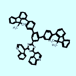 CC1(C)c2ccccc2-c2cccc(-c3ccc(-c4cc(-c5ccc(-c6cccc7c6C(C)(C)c6ccccc6-7)cc5)cc(-c5nc(-c6ccnc7ccccc67)nc(-c6ccnc7ccccc67)n5)c4)cc3)c21